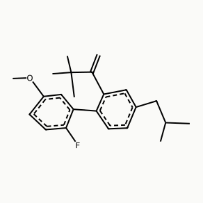 C=C(c1cc(CC(C)C)ccc1-c1cc(OC)ccc1F)C(C)(C)C